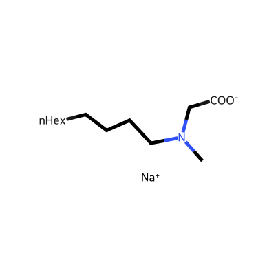 CCCCCCCCCCN(C)CC(=O)[O-].[Na+]